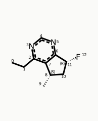 CCc1ncnc2c1[C@@H](C)C[C@H]2F